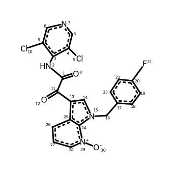 O=C(Nc1c(Cl)cncc1Cl)C(=O)c1cn(Cc2ccc(F)cc2)c2c1ccc[n+]2[O-]